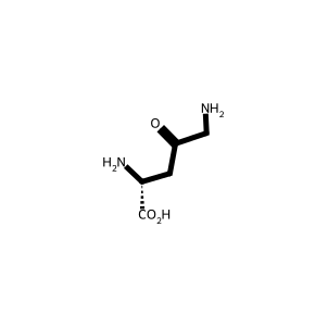 NCC(=O)C[C@@H](N)C(=O)O